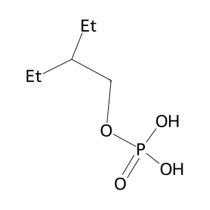 CCC(CC)COP(=O)(O)O